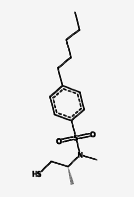 CCCCCc1ccc(S(=O)(=O)N(C)[C@H](C)CS)cc1